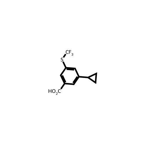 O=C(O)c1cc(SC(F)(F)F)cc(C2CC2)c1